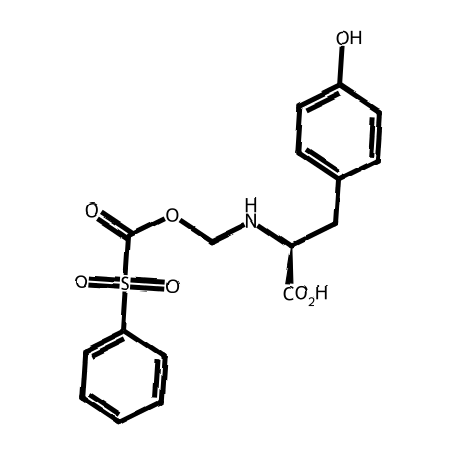 O=C(O)[C@H](Cc1ccc(O)cc1)NCOC(=O)S(=O)(=O)c1ccccc1